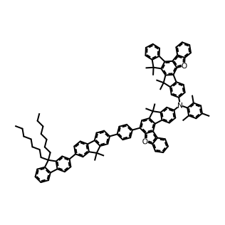 CCCCCCCC1(CCCCCCC)c2ccccc2-c2ccc(-c3ccc4c(c3)C(C)(C)c3cc(-c5ccc(-c6cc7c(c8c6oc6ccccc68)-c6ccc(N(c8ccc9c(c8)C(C)(C)c8c%10c(c%11c(oc%12ccccc%12%11)c8-9)-c8ccccc8C%10(C)C)c8c(C)cc(C)cc8C)cc6C7(C)C)cc5)ccc3-4)cc21